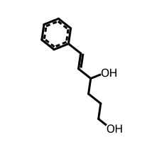 OCCCC(O)/C=C/c1ccccc1